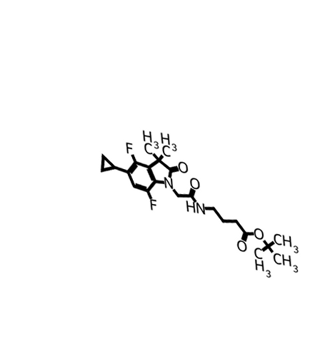 CC(C)(C)OC(=O)CCCNC(=O)CN1C(=O)C(C)(C)c2c(F)c(C3CC3)cc(F)c21